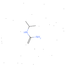 C=C(N)NC(C)C